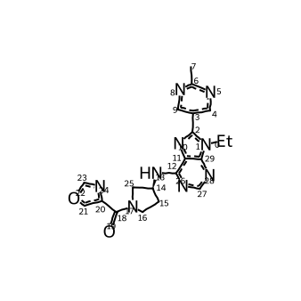 CCn1c(-c2cnc(C)nc2)nc2c(N[C@H]3CCN(C(=O)c4cocn4)C3)ncnc21